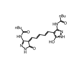 CCCCC(=O)NC1=NNC(=O)C1=CC=CC=Cc1c(NC(=O)CCCC)n[nH]c1O